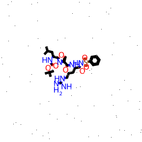 CC(C)CC(NC(=O)OC(C)(C)C)c1nc(C(=O)NC(CCCNC(=N)N)C(=O)NS(=O)(=O)c2ccccc2)co1